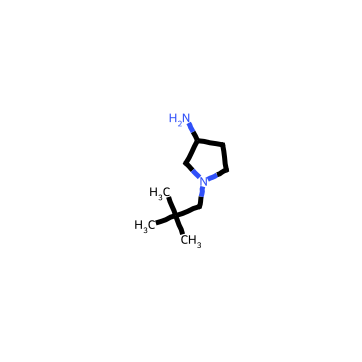 CC(C)(C)CN1CCC(N)C1